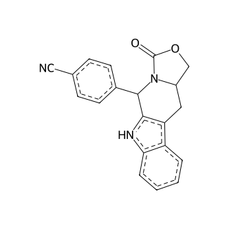 N#Cc1ccc(C2c3[nH]c4ccccc4c3CC3COC(=O)N32)cc1